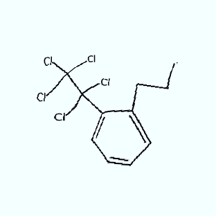 [CH2]CCc1ccccc1C(Cl)(Cl)C(Cl)(Cl)Cl